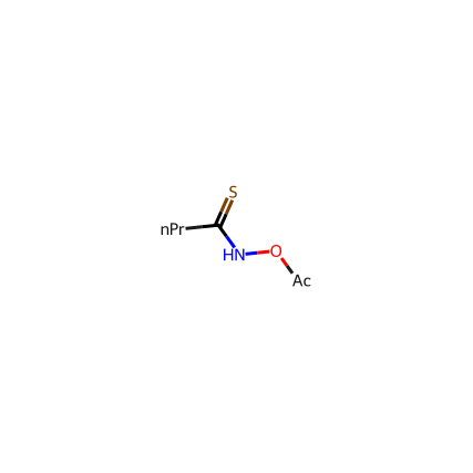 CCCC(=S)NOC(C)=O